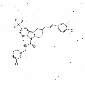 O=C(NCc1ccnc(Cl)c1)n1c2c(c3cc(C(F)(F)F)ccc31)CN(CC=Cc1ccc(Cl)c(F)c1)CC2